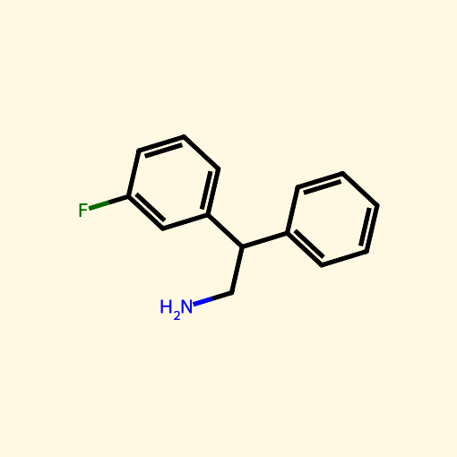 NCC(c1ccccc1)c1cccc(F)c1